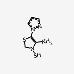 NC1=C(n2cccn2)SCN1S